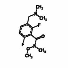 CON(C)C(=O)c1c(F)ccc(CN(C)C)c1F